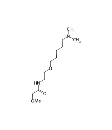 COCC(=O)NCCOCCCCCN(C)C